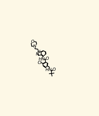 CC(C)(C)C(=O)NCc1ccc(Cl)c(C(=O)Nc2cccc3c2cnn3CCN2CCOCC2)c1